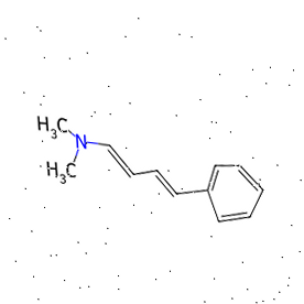 CN(C)C=CC=Cc1ccccc1